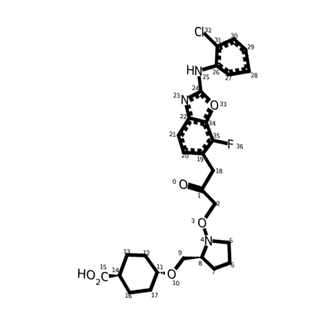 O=C(CON1CCC[C@H]1CO[C@H]1CC[C@H](C(=O)O)CC1)Cc1ccc2nc(Nc3ccccc3Cl)oc2c1F